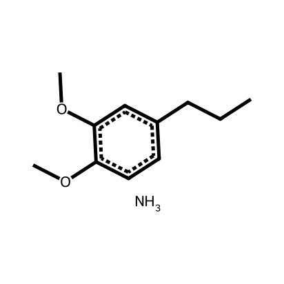 CCCc1ccc(OC)c(OC)c1.N